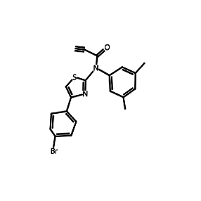 C#CC(=O)N(c1cc(C)cc(C)c1)c1nc(-c2ccc(Br)cc2)cs1